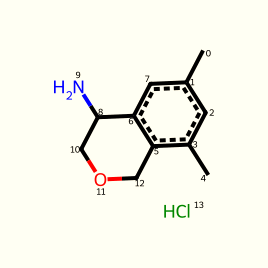 Cc1cc(C)c2c(c1)C(N)COC2.Cl